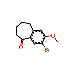 COc1cc2c(cc1Br)C(=O)CCCC2